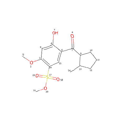 COc1cc(O)c(C(=O)C2CCCC2C)cc1S(=O)(=O)OC